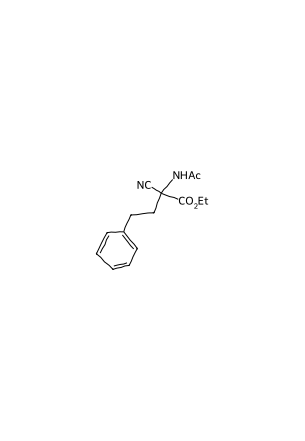 CCOC(=O)C(C#N)(CCc1ccccc1)NC(C)=O